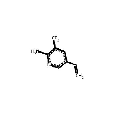 C=Cc1cnc(N)c(C(F)(F)F)c1